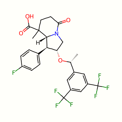 C[C@@H](O[C@H]1CN2C(=O)CCC(C)(C(=O)O)[C@H]2[C@@H]1c1ccc(F)cc1)c1cc(C(F)(F)F)cc(C(F)(F)F)c1